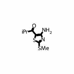 CSc1nc(N)c(C(=O)C(C)C)s1